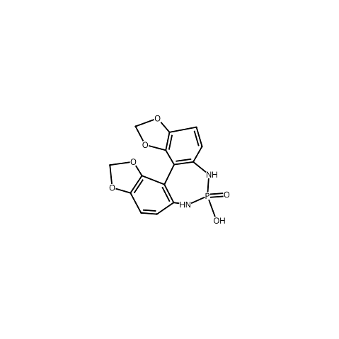 O=P1(O)Nc2ccc3c(c2-c2c(ccc4c2OCO4)N1)OCO3